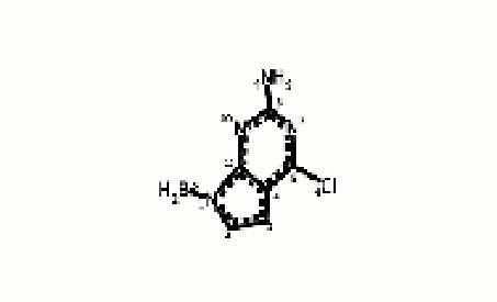 Bn1ccc2c(Cl)nc(N)nc21